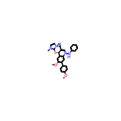 COc1ccc(-c2cc3c(cc2OC)[C@@H](SC2N(C)C=CN2Cl)C(C#N)=CN3Nc2ccccc2)cc1